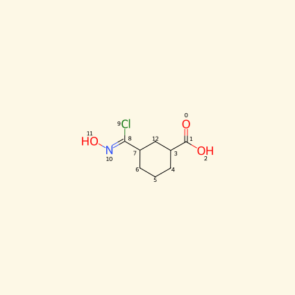 O=C(O)C1CCCC(/C(Cl)=N/O)C1